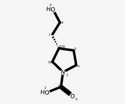 O=C(O)N1CC[C@@H](CCO)C1